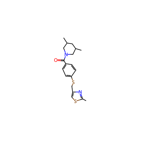 Cc1nc(CSc2ccc(C(=O)N3CC(C)CC(C)C3)cc2)cs1